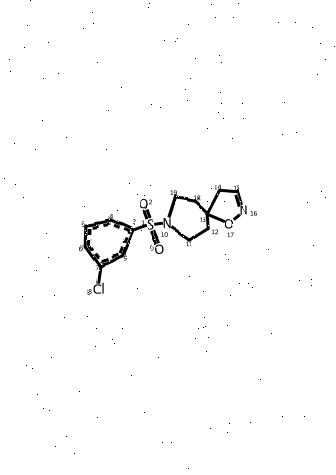 O=S(=O)(c1cccc(Cl)c1)N1CCC2(CC=NO2)CC1